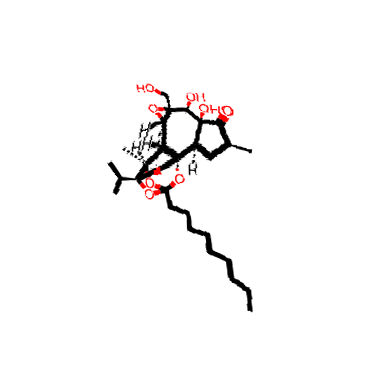 CCCCCCCCCC12O[C@@H]3[C@@H]4[C@@H]5O[C@]5(CO)[C@@H](O)[C@]5(O)C(=O)[C@@H](C)C[C@H]5[C@@]4(O1)[C@H](C)[C@@H](C)[C@]3(C(C)C)O2